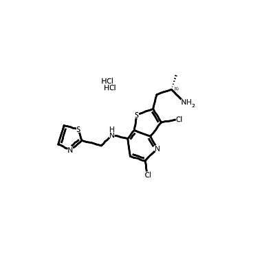 C[C@H](N)Cc1sc2c(NCc3nccs3)cc(Cl)nc2c1Cl.Cl.Cl